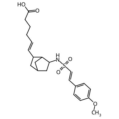 COc1ccc(C=CS(=O)(=O)NC2CC3CC(C=CCCCC(=O)O)C2C3)cc1